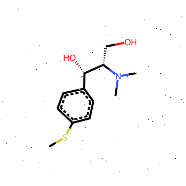 CSc1ccc([C@H](O)[C@H](CO)N(C)C)cc1